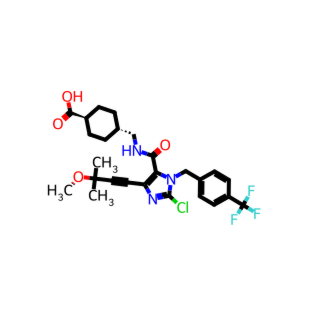 COC(C)(C)C#Cc1nc(Cl)n(Cc2ccc(C(F)(F)F)cc2)c1C(=O)NC[C@H]1CC[C@H](C(=O)O)CC1